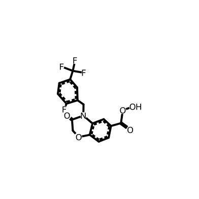 O=C(OO)c1ccc2c(c1)N(Cc1cc(C(F)(F)F)ccc1F)C(=O)CO2